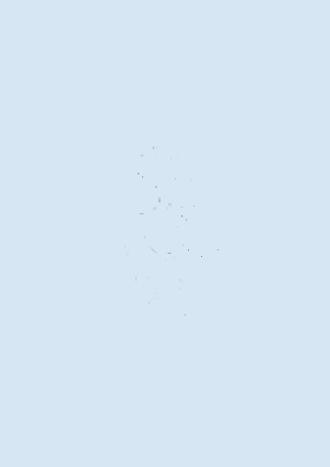 NC1=NCCO1.c1ccc2c(c1)ccc1c3c(ccc12)CCCC3.c1ccc2ncccc2c1